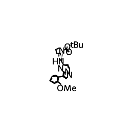 COCc1ccccc1-c1cnn2ccc(NC[C@@H]3CCCN3C(=O)OC(C)(C)C)nc12